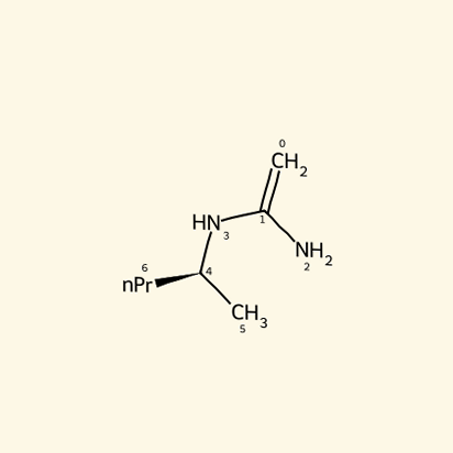 C=C(N)N[C@@H](C)CCC